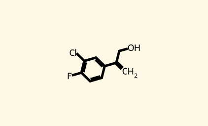 C=C(CO)c1ccc(F)c(Cl)c1